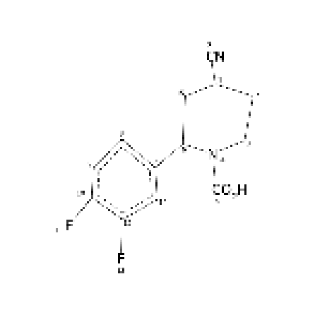 N#CC1CCN(C(=O)O)C(c2ccc(F)c(F)c2)C1